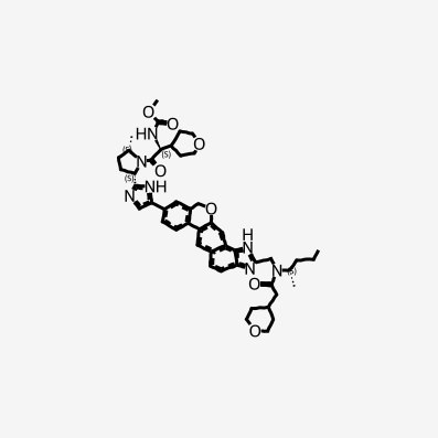 CCC[C@H](C)N(Cc1nc2ccc3cc4c(cc3c2[nH]1)OCc1cc(-c2cnc([C@@H]3CC[C@H](C)N3C(=O)[C@@H](NC(=O)OC)C3CCOCC3)[nH]2)ccc1-4)C(=O)CC1CCOCC1